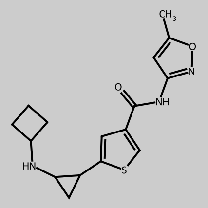 Cc1cc(NC(=O)c2csc(C3CC3NC3CCC3)c2)no1